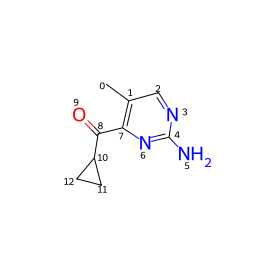 Cc1cnc(N)nc1C(=O)C1CC1